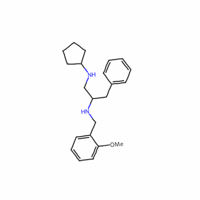 COc1ccccc1CNC(CNC1CCCC1)Cc1ccccc1